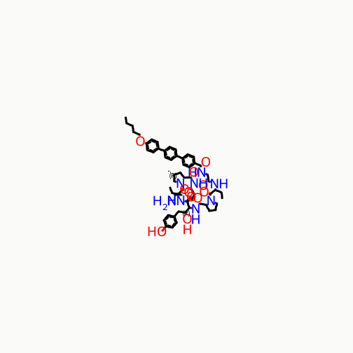 CCCCCOc1ccc(-c2ccc(-c3ccc(C(=O)NCC(=O)NC(CC)C(=O)N4CCCC4C(=O)NC(C(=O)NC(CC)C(=O)N4C[C@H](C)CC4C(=O)NC(CC)OCCN)[C@H](O)Cc4ccc(O)cc4)cc3)cc2)cc1